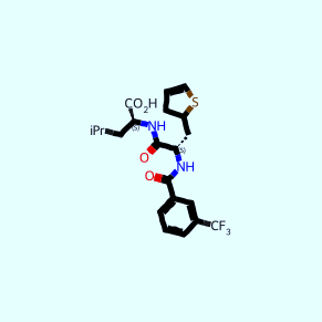 CC(C)C[C@H](NC(=O)[C@H](CC1CC=CS1)NC(=O)c1cccc(C(F)(F)F)c1)C(=O)O